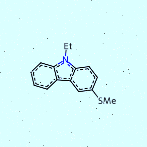 CCn1c2ccccc2c2cc(SC)ccc21